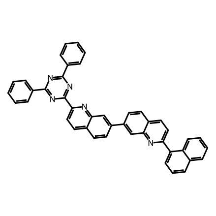 c1ccc(-c2nc(-c3ccccc3)nc(-c3ccc4ccc(-c5ccc6ccc(-c7cccc8ccccc78)nc6c5)cc4n3)n2)cc1